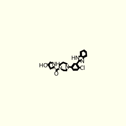 O=C([C@@H]1C[C@@H](O)CN1)N1CCCN(c2ccc(Cl)c(-c3nc4ccccc4[nH]3)c2)CC1